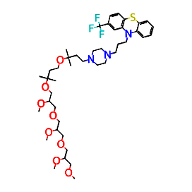 COCC(COCC(COCC(COC(C)(C)CCOC(C)(C)CCN1CCN(CCCN2c3ccccc3Sc3ccc(C(F)(F)F)cc32)CC1)OC)OC)OC